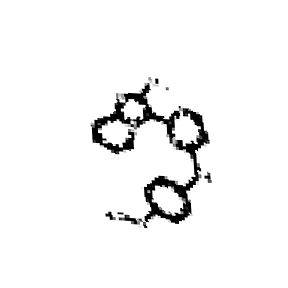 COc1ccc(Nc2ccnc(-c3c(C)nc4ccccn34)n2)cc1